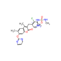 C=C(NS(=O)(=O)NC)/C(F)=C(\C=C/N)Cc1c(C)c2cc(C)c(Oc3ncccn3)cc2oc1=O